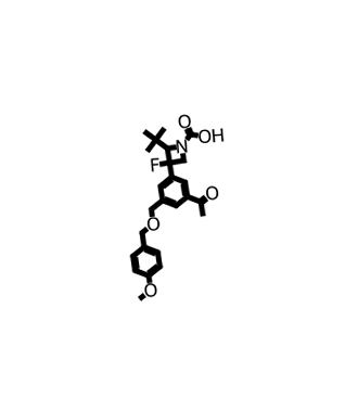 COc1ccc(COCc2cc(C(C)=O)cc(C3(F)CN(C(=O)O)C3C(C)(C)C)c2)cc1